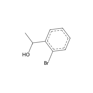 C[C](O)c1ccccc1Br